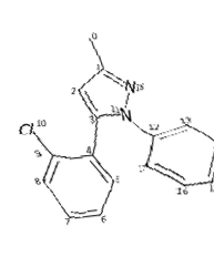 Cc1cc(-c2ccccc2Cl)n(-c2ccccc2)n1